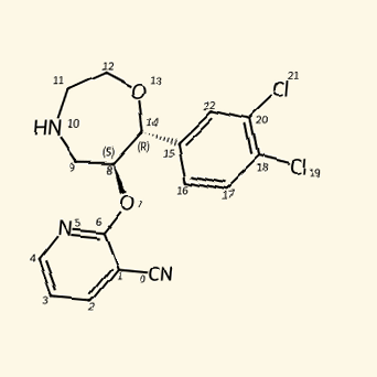 N#Cc1cccnc1O[C@H]1CNCCO[C@@H]1c1ccc(Cl)c(Cl)c1